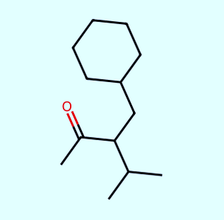 CC(=O)C(CC1CCCCC1)C(C)C